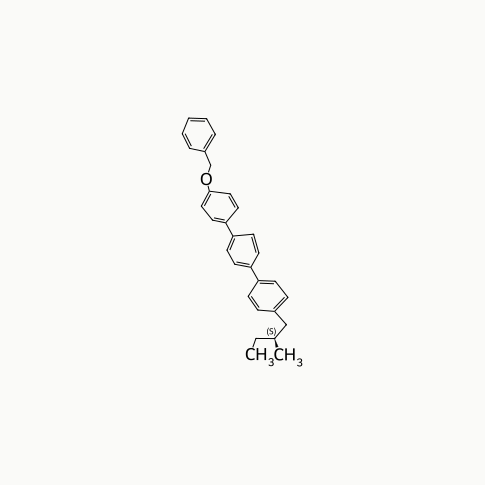 CC[C@H](C)Cc1ccc(-c2ccc(-c3ccc(OCc4ccccc4)cc3)cc2)cc1